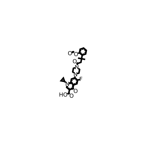 CC(C)(CC(=O)N1CCN(c2cc3c(cc2F)c(=O)c(C(=O)O)cn3C2CC2)CC1)c1ccccc1OC=O